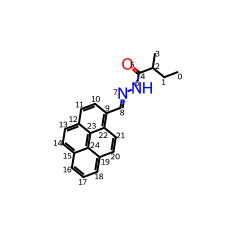 CCC(C)C(=O)N/N=C/c1ccc2ccc3cccc4ccc1c2c34